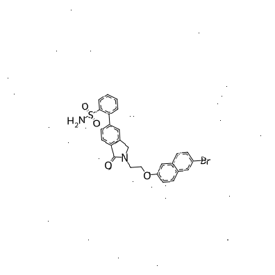 NS(=O)(=O)c1ccccc1-c1ccc2c(c1)CN(CCOc1ccc3cc(Br)ccc3c1)C2=O